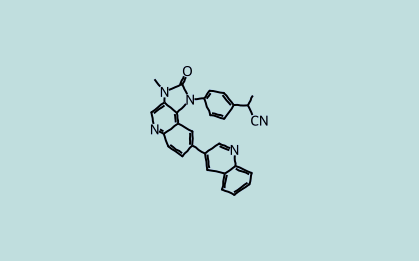 CC(C#N)c1ccc(-n2c(=O)n(C)c3cnc4ccc(-c5cnc6ccccc6c5)cc4c32)cc1